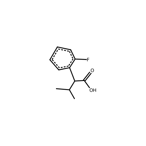 CC(C)C(C(=O)O)c1ccccc1F